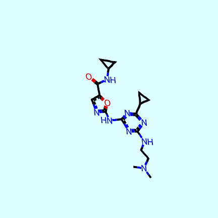 CN(C)CCNc1nc(Nc2ncc(C(=O)NC3CC3)o2)nc(C2CC2)n1